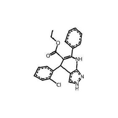 CCOC(=O)C1=C(c2ccccc2)Nc2n[nH]cc2C1c1ccccc1Cl